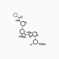 COc1cc(F)cc(-c2nccc3[nH]c(-c4n[nH]c5ccc(-c6cncc(NC(=O)C7CCCC7)c6)cc45)nc23)c1